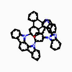 c1ccc2c(c1)N=C1c3ccccc3-c3cc(-n4c5ccccc5c5ccc6c7ccccc7n(-c7ccc8c9ccccc9c9nc%10ccccc%10n9c8c7)c6c54)ccc3C12